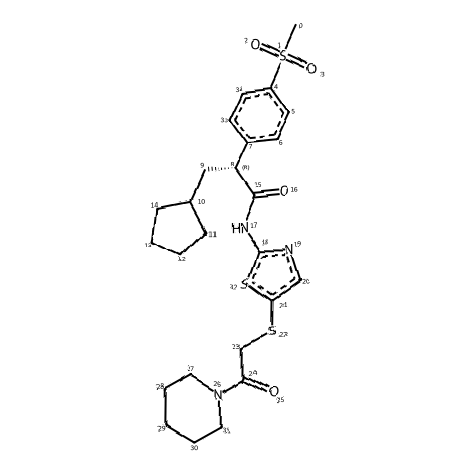 CS(=O)(=O)c1ccc([C@@H](CC2CCCC2)C(=O)Nc2ncc(SCC(=O)N3CCCCC3)s2)cc1